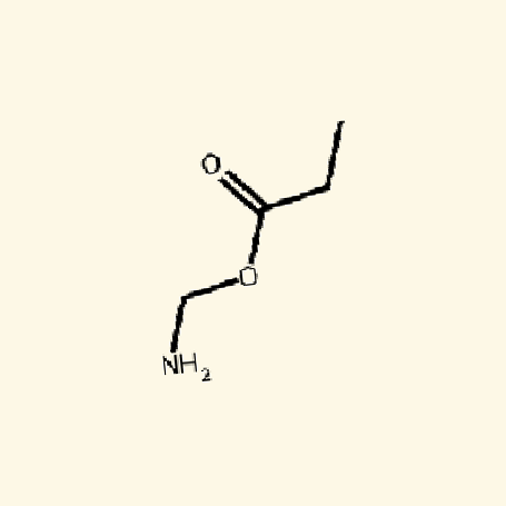 CCC(=O)OCN